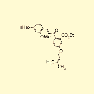 CCCCCCc1ccc(C=CC(=O)c2ccc(OCC=C(C)C)cc2C(=O)OCC)c(OC)c1